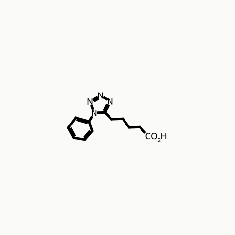 O=C(O)CCCCc1nnnn1-c1ccccc1